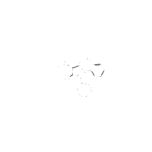 CC(C)(C)c1c(NC=O)c(=O)n(C2CCCCC2)n1-c1ccccc1